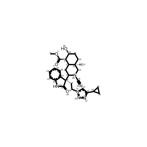 COC(=O)[C@@H]1C2CC([C@@]3(CCn4cc(C5CC5)nn4)C(=O)Nc4ccccc43)N(C#N)C[C@@H]2CC[C@@H]1O